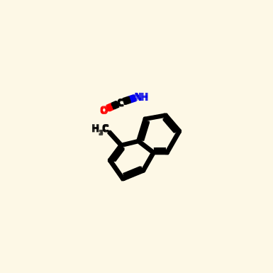 Cc1cccc2ccccc12.N=C=O